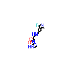 Cc1ncc(F)c2c1CC(CNCCc1cn(C3=CNCC=N3)c(=O)o1)C2